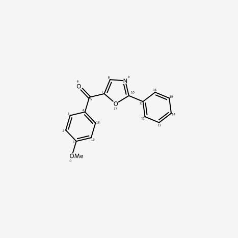 COc1ccc(C(=O)c2cnc(-c3ccccc3)o2)cc1